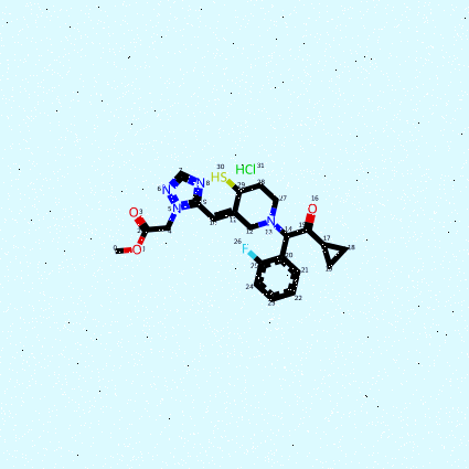 COC(=O)Cn1ncnc1C=C1CN(C(C(=O)C2CC2)c2ccccc2F)CCC1S.Cl